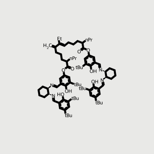 C=C(CCCC(CCC)C(=O)Oc1cc(/C=N/[C@@H]2CCCC[C@H]2/N=C/c2cc(C(C)(C)C)cc(C(C)(C)C)c2O)c(O)c(C(C)(C)C)c1)C(=CCCCC(CCC)C(=O)Oc1cc(/C=N/[C@@H]2CCCC[C@H]2/N=C/c2cc(C(C)(C)C)cc(C(C)(C)C)c2O)c(O)c(C(C)(C)C)c1)CC